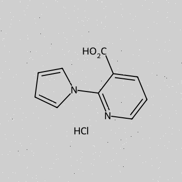 Cl.O=C(O)c1cccnc1-n1cccc1